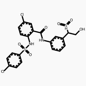 O=C(Nc1cccc(C(CO)[SH](=O)=O)c1)c1cc(Cl)ccc1NS(=O)(=O)c1ccc(Cl)cc1